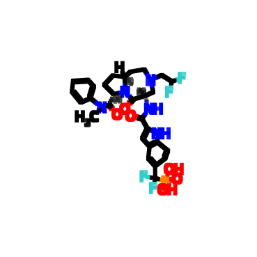 CN(C(=O)[C@@H]1CC[C@@H]2CCN(CC(F)F)C[C@H](NC(=O)c3cc4cc(C(F)(F)P(=O)(O)O)ccc4[nH]3)C(=O)N21)c1ccccc1